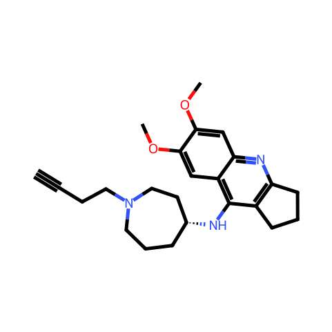 C#CCCN1CCC[C@@H](Nc2c3c(nc4cc(OC)c(OC)cc24)CCC3)CC1